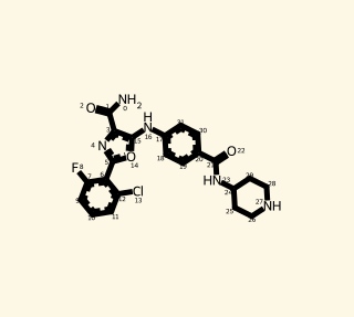 NC(=O)c1nc(-c2c(F)cccc2Cl)oc1Nc1ccc(C(=O)NC2CCNCC2)cc1